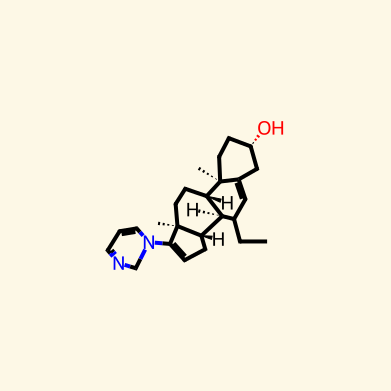 CCC1C=C2C[C@@H](O)CC[C@]2(C)[C@H]2CC[C@]3(C)C(N4C=CC=NC4)=CC[C@H]3[C@H]12